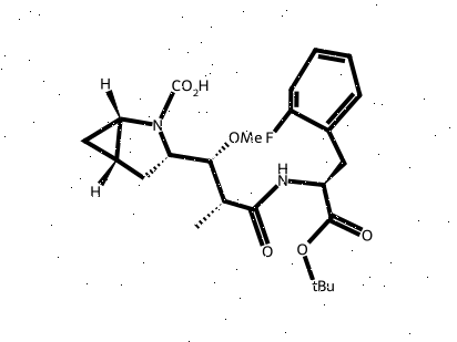 CO[C@H]([C@@H](C)C(=O)N[C@@H](Cc1ccccc1F)C(=O)OC(C)(C)C)[C@@H]1C[C@@H]2C[C@@H]2N1C(=O)O